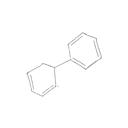 [C]1=CC=CCC1c1ccccc1